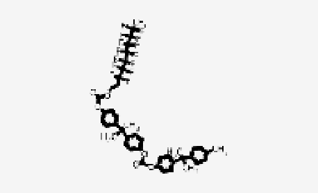 Cc1ccc(C(C)(C)c2ccc(OC(=O)Oc3ccc(C(C)(C)c4ccc(OC(=O)OCCC(F)(F)C(F)(F)C(F)(F)C(F)(F)C(F)(F)C(F)(F)C(F)(F)C(F)(F)F)cc4)cc3)cc2)cc1